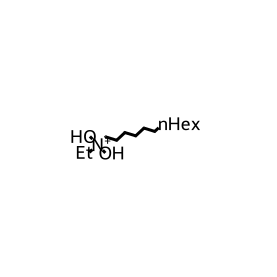 CCCCCCCCCCCC[N+](O)(O)CC